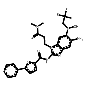 CN(C)C(=O)CCn1c(NC(=O)c2ccc(-c3ccncc3)s2)nc2cc(N)c(N(O)CC(F)(F)F)cc21